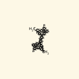 C=CC1=CCC(C2C=CC(C3(c4ccc(F)cc4)C4=C(CCC=C4)c4ccc(N(C5=CCC(F)C=C5)C5C=CC6=C(C5)SC5C=C(N(C7=CC8=C(CC7)c7ccccc7C8(c7ccc(F)cc7)C7C=CC(C8=CC=C(C=C)CC8)=CC7)c7ccc(F)cc7)C=CC65)cc43)=CC2)C=C1